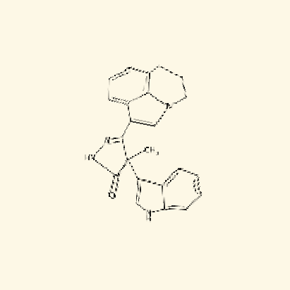 CC1(c2c[nH]c3ccccc23)C(=O)NN=C1c1cn2c3c(cccc13)CCC2